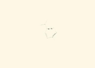 COc1ccc(C(C)[O])cc1